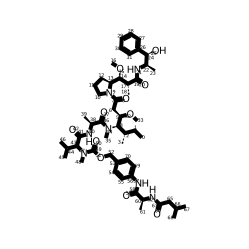 CC[C@H](C)[C@@H]([C@@H](CC(=O)N1CCC[C@H]1[C@H](OC)[C@@H](C)C(=O)N[C@H](C)[C@@H](O)c1ccccc1)OC)N(C)C(=O)[C@H](C)NC(=O)C(C(C)C)N(C)C(=O)OCc1ccc(NC(=O)[C@H](C)NC(=O)CC(C)C)cc1